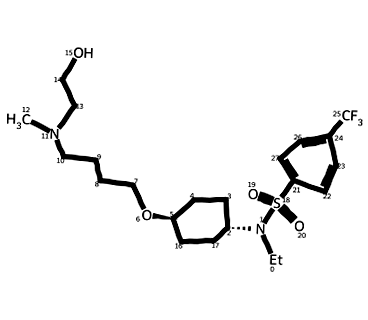 CCN([C@H]1CC[C@H](OCCCCN(C)CCO)CC1)S(=O)(=O)c1ccc(C(F)(F)F)cc1